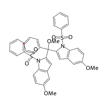 COc1ccc2c(c1)cc(C(OC)(c1ccccc1)c1cc3cc(OC)ccc3n1S(=O)(=O)c1ccccc1)n2S(=O)(=O)c1ccccc1